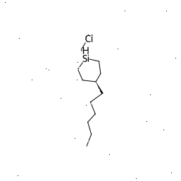 CCCCCC[C@H]1CC[Si@H](CCl)CC1